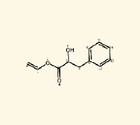 C=COC(=O)C(O)Cc1ccccc1